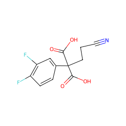 N#CCCC(C(=O)O)(C(=O)O)c1ccc(F)c(F)c1